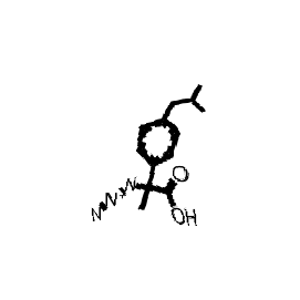 CC(C)Cc1ccc(C(C)(N=[N+]=[N-])C(=O)O)cc1